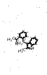 Cc1[nH]c2ccccc2c1Sc1ccccc1C(C)N